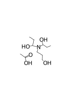 CC(=O)O.CCC(O)N(CCCO)C(O)CC